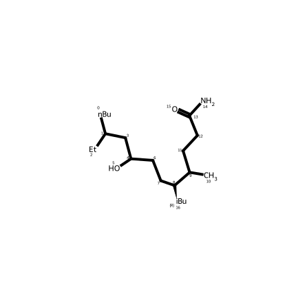 CCCCC(CC)CC(O)CCC(C(C)CCC(N)=O)[C@H](C)CC